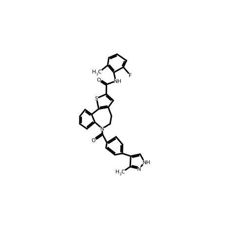 Cc1cccc(F)c1NC(=O)c1cc2c(s1)-c1ccccc1N(C(=O)c1ccc(-c3c[nH]nc3C)cc1)CC2